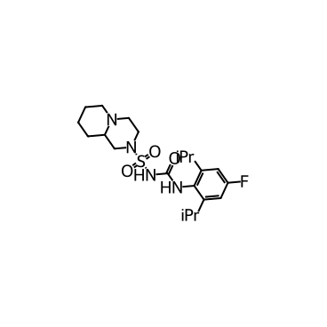 CC(C)c1cc(F)cc(C(C)C)c1NC(=O)NS(=O)(=O)N1CCN2CCCCC2C1